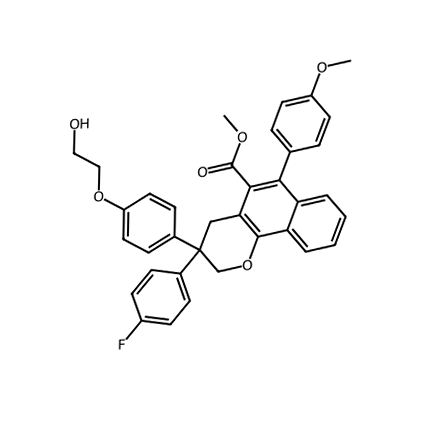 COC(=O)c1c2c(c3ccccc3c1-c1ccc(OC)cc1)OCC(c1ccc(F)cc1)(c1ccc(OCCO)cc1)C2